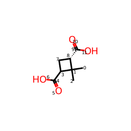 CC1(C)C(C(=O)O)C[C@@H]1C(=O)O